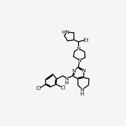 CCC(C1CCNC1)N1CCN(c2nc3c(c(NCc4ccc(Cl)cc4Cl)n2)CNCC3)CC1